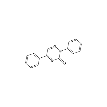 O=c1nc(-c2ccccc2)cnn1-c1ccccc1